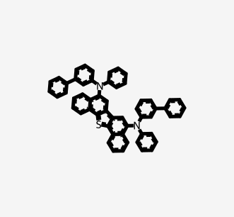 c1ccc(-c2cccc(N(c3ccccc3)c3cc4c5cc(N(c6ccccc6)c6cccc(-c7ccccc7)c6)c6ccccc6c5sc4c4ccccc34)c2)cc1